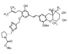 COc1cc(/C=C/c2cc(O)c(CC=C(C)C)c(OCc3cn(C[C@H]4CCCN4C(=O)OC(C)(C)C)nn3)c2)cc2c1O[C@]1(C)C[C@@H](O)[C@@H](O)C(C)(C)[C@H]1C2